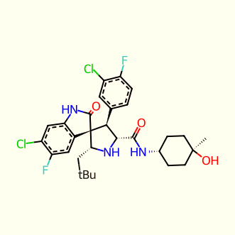 CC(C)(C)C[C@H]1N[C@@H](C(=O)N[C@H]2CC[C@](C)(O)CC2)[C@H](c2ccc(F)c(Cl)c2)[C@@]12C(=O)Nc1cc(Cl)c(F)cc12